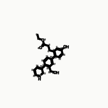 CCOC(=O)CCc1cc(O)ccc1-c1ccc(C2=CC=CNC2)c(CO)c1